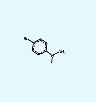 CN(N)c1ccc(Br)cc1